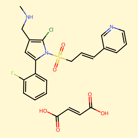 CNCc1cc(-c2ccccc2F)n(S(=O)(=O)CC=Cc2cccnc2)c1Cl.O=C(O)/C=C/C(=O)O